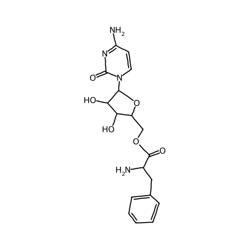 Nc1ccn(C2OC(COC(=O)C(N)Cc3ccccc3)C(O)C2O)c(=O)n1